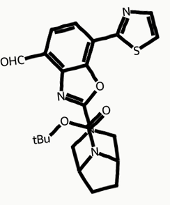 CC(C)(C)OC(=O)N1C2CCC1CN(c1nc3c(C=O)ccc(-c4nccs4)c3o1)C2